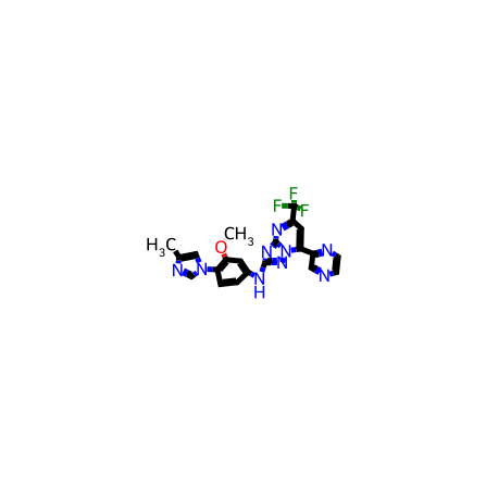 COc1cc(Nc2nc3nc(C(F)(F)F)cc(-c4cnccn4)n3n2)ccc1-n1cnc(C)c1